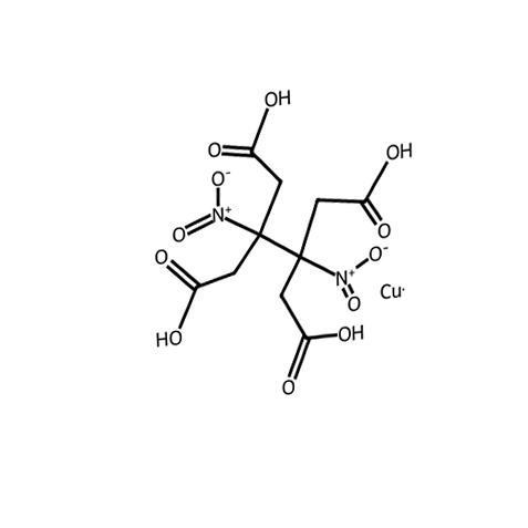 O=C(O)CC(CC(=O)O)([N+](=O)[O-])C(CC(=O)O)(CC(=O)O)[N+](=O)[O-].[Cu]